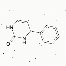 O=C1NC=CC(c2ccccc2)N1